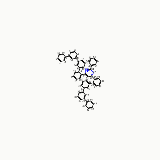 c1ccc(-c2cccc(-c3cccc(-c4ccccc4-c4cc(-c5ccccc5-c5cccc(-c6cccc(-c7ccccc7)c6)c5)nc(-c5ccccc5)n4)c3)c2)cc1